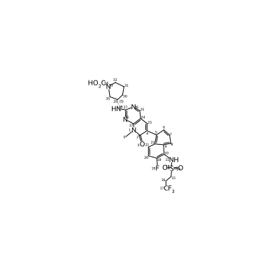 Cn1c(=O)c(-c2cccc3c(NS(=O)(=O)CCC(F)(F)F)c(F)ccc23)cc2cnc(N[C@H]3CCCN(C(=O)O)C3)nc21